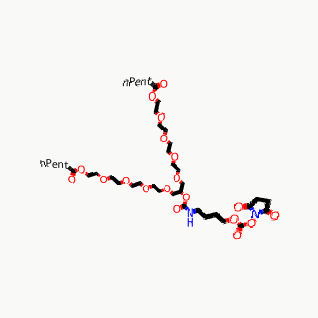 CCCCCC(=O)OCCOCCOCCOCCOCC(COCCOCCOCCOCCOC(=O)CCCCC)OC(=O)NCCCCOC(=O)ON1C(=O)CCC1=O